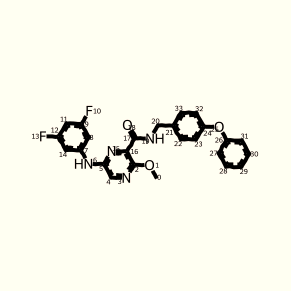 COc1ncc(Nc2cc(F)cc(F)c2)nc1C(=O)NCc1ccc(Oc2ccccc2)cc1